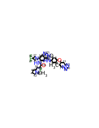 COc1cc(Oc2ccn3ncnc3c2)c(C)cc1Nc1ncnc2cc(N3CC(F)(F)C3)c(NC(=O)/C(F)=C/C3CCCN3C)cc12